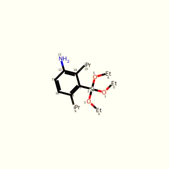 CCO[Si](OCC)(OCC)c1c(C(C)C)ccc(N)c1C(C)C